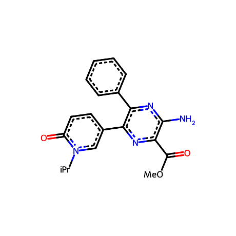 COC(=O)c1nc(-c2ccc(=O)n(C(C)C)c2)c(-c2ccccc2)nc1N